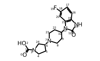 O=C(O)N1CC[C@H](N2CCC(n3c(=O)[nH]c4ccc(F)cc43)CC2)C1